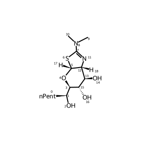 CCCCC[C@H](O)[C@H]1O[C@@H]2SC(N(C)C)=N[C@@H]2[C@@H](O)[C@@H]1O